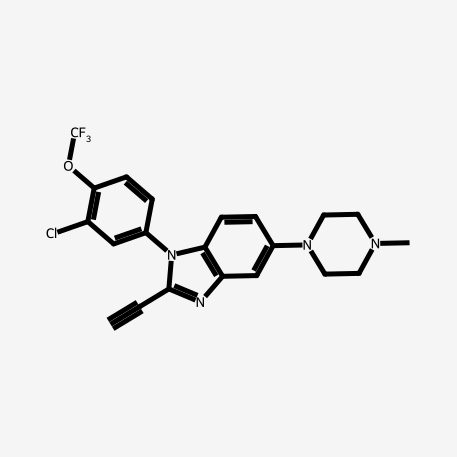 C#Cc1nc2cc(N3CCN(C)CC3)ccc2n1-c1ccc(OC(F)(F)F)c(Cl)c1